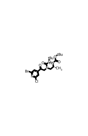 C[C@H](CN(CC(=O)c1cc(Cl)nc(Br)c1)C(=O)OC(C)(C)C)NC(=O)OC(C)(C)C